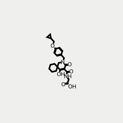 O=C(O)CNC(=O)C1=C(O)C2(CCCCC2)CN(Cc2ccc(OCC3CC3)cc2)C1=O